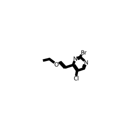 CCO/C=C/c1nc(Br)ncc1Cl